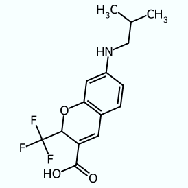 CC(C)CNc1ccc2c(c1)OC(C(F)(F)F)C(C(=O)O)=C2